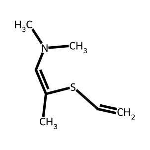 C=CS/C(C)=C\N(C)C